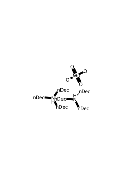 CCCCCCCCCC[NH+](CCCCCCCCCC)CCCCCCCCCC.CCCCCCCCCC[NH+](CCCCCCCCCC)CCCCCCCCCC.[O]=[Mo](=[O])([O-])[O-]